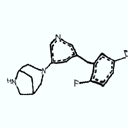 Fc1ccc(F)c(-c2cncc(N3CC4CNC(C4)C3)c2)c1